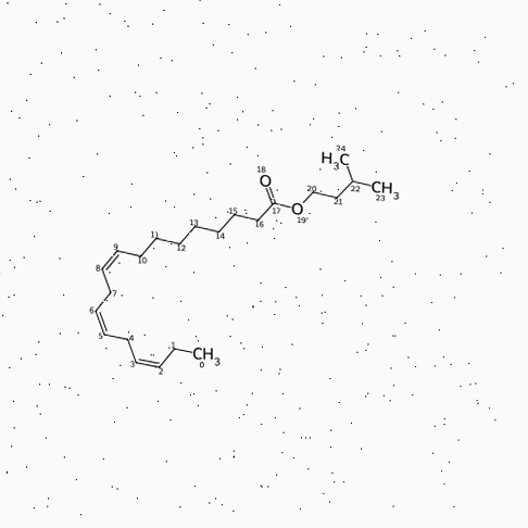 CC/C=C\C/C=C\C/C=C\CCCCCCCC(=O)OCCC(C)C